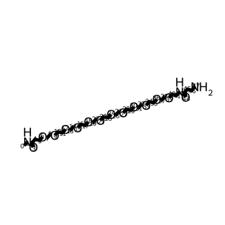 CNC(=O)CCOCCOCCOCCOCCOCCOCCOCCOCCOCCOCCOCCOCCNC(=O)CCN